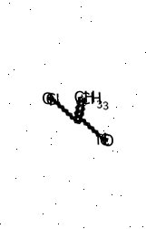 CCCCCC=CC1C(CCCCCCCCCN=C=O)C=CC(CCCCCCCCCN=C=O)C1C=CCCCCC